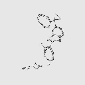 O=C(O)C1CN(Cc2ccc(-c3cc4ccc(C5(c6ccccn6)CC5)cc4o3)c(F)c2)C1